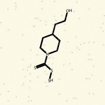 OCCC1CCN(C(=S)SS)CC1